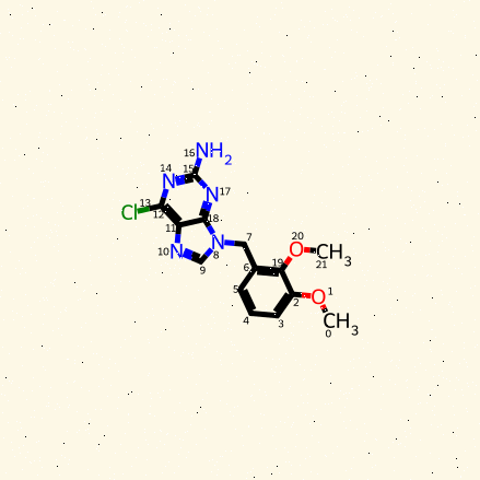 COc1cccc(Cn2cnc3c(Cl)nc(N)nc32)c1OC